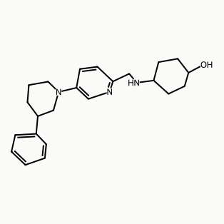 OC1CCC(NCc2ccc(N3CCCC(c4ccccc4)C3)cn2)CC1